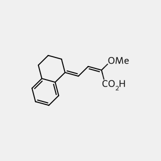 COC(=CC=C1CCCc2ccccc21)C(=O)O